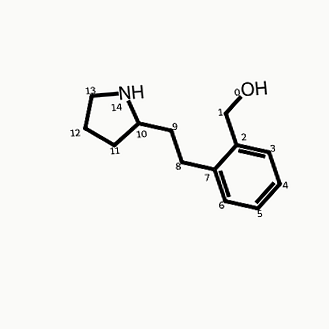 OCc1ccccc1CCC1CCCN1